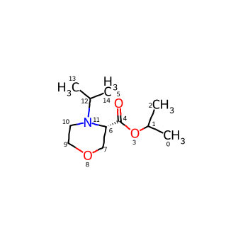 CC(C)OC(=O)[C@@H]1COCCN1C(C)C